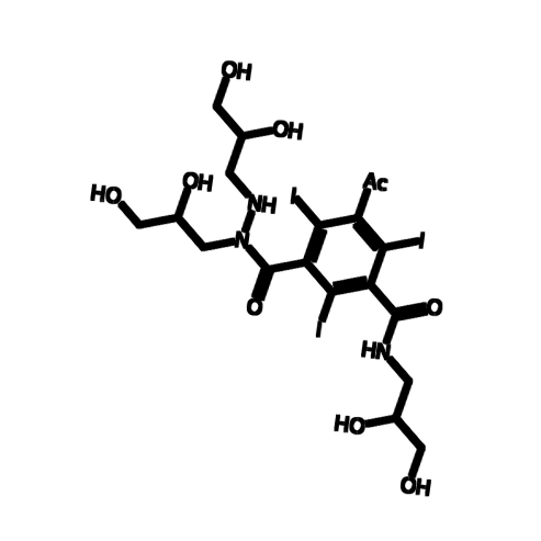 CC(=O)c1c(I)c(C(=O)NCC(O)CO)c(I)c(C(=O)N(CC(O)CO)NCC(O)CO)c1I